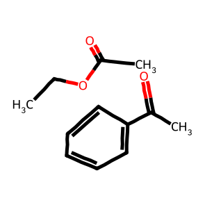 CC(=O)c1ccccc1.CCOC(C)=O